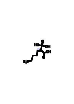 CCCC/C=C(\C(=O)O)P(=O)(O)O